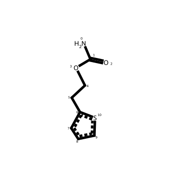 NC(=O)OCCc1cccs1